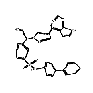 N#CCC(c1cccc(S(=O)(=O)Nc2ccc(-c3ccccc3)cc2)c1)n1cc(-c2ncnc3[nH]ccc23)cn1